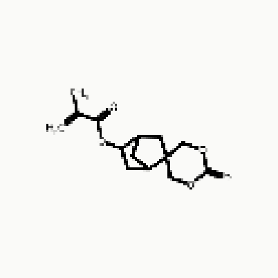 C=C(C)C(=O)OC1CC2CC1CC21COC(=O)OC1